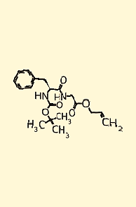 C=CCOC(=O)CNC(=O)[C@H](Cc1ccccc1)NC(=O)OC(C)(C)C